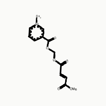 COC(=O)/C=C/C(=O)OCOC(=O)c1ccc[n+](C)c1